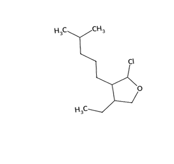 CCC1COC(Cl)C1CCCC(C)C